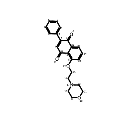 O=C1C(c2ccccc2)=CC(=O)c2c(OCCN3CCOCC3)cccc21